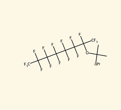 CCCC(C)(C)OC(F)(C(F)(F)F)C(F)(F)C(F)(F)C(F)(F)C(F)(F)C(F)(F)C(F)(F)F